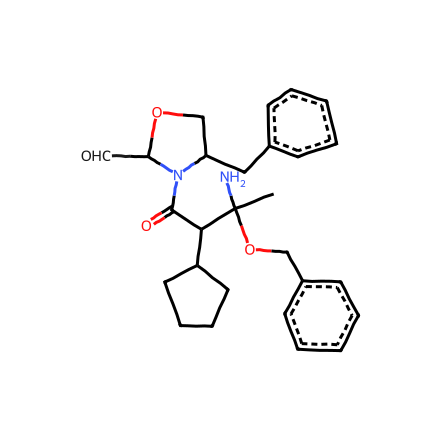 CC(N)(OCc1ccccc1)C(C(=O)N1C(Cc2ccccc2)COC1C=O)C1CCCC1